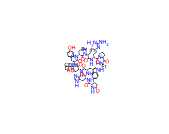 CC(=O)O.CCNC(=O)C1CCCN1C(=O)C(CCCN=C(N)N)NC(=O)C(CC(C)C)NC(=O)C(CC(C)C)NC(=O)C(Cc1ccc(O)cc1)NC(=O)C(CO)NC(=O)C(Cc1c[nH]c2ccccc12)NC(=O)C(Cc1cnc[nH]1)NC(=O)C1CCC(=O)N1